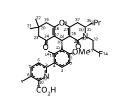 COc1ccc(-c2ccc(C)c(C(=O)O)n2)c(C)c1[C@H]1C2=C(CC(C)(C)CC2=O)OC2=C1C(=O)N(CCF)[C@H](C(C)C)C2